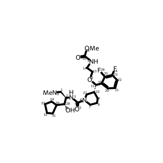 CNC[C@@H](NC(=O)N1CCC[C@@H](C(OCCNC(=O)OC)c2cccc(F)c2F)C1)[C@H](O)C1CCCC1